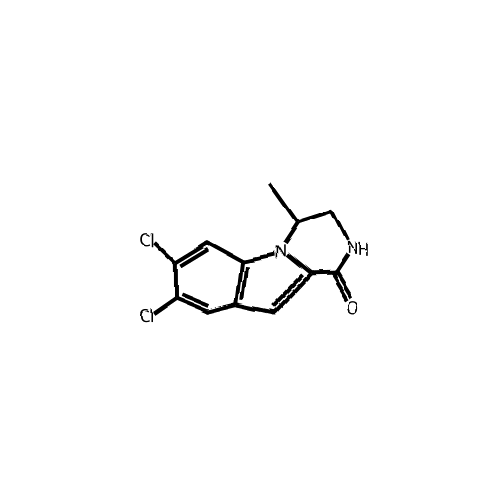 CC1CNC(=O)c2cc3cc(Cl)c(Cl)cc3n21